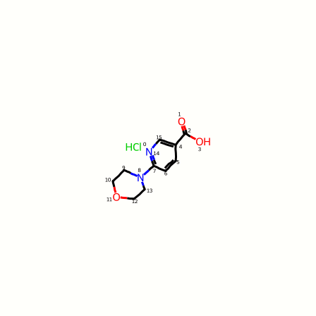 Cl.O=C(O)c1ccc(N2CCOCC2)nc1